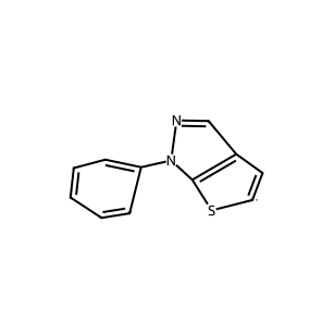 [c]1cc2cnn(-c3ccccc3)c2s1